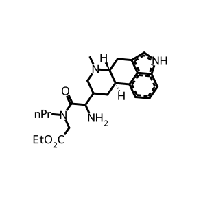 CCCN(CC(=O)OCC)C(=O)C(N)C1C[C@@H]2c3cccc4[nH]cc(c34)C[C@H]2N(C)C1